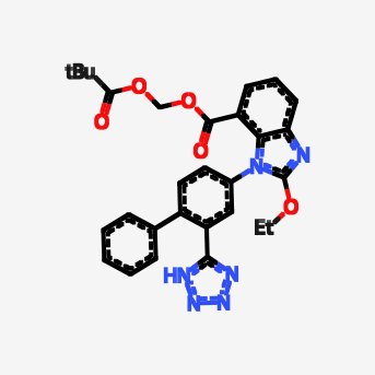 CCOc1nc2cccc(C(=O)OCOC(=O)C(C)(C)C)c2n1-c1ccc(-c2ccccc2)c(-c2nnn[nH]2)c1